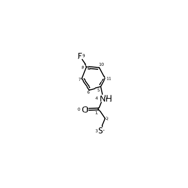 O=C(C[S])Nc1ccc(F)cc1